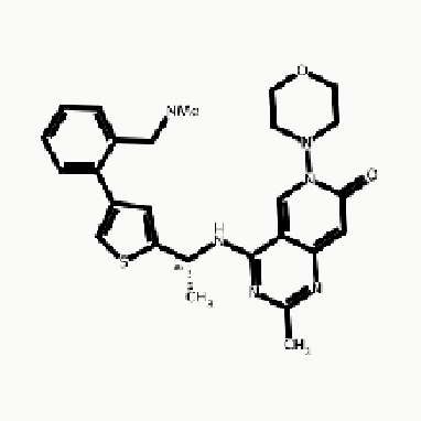 CNCc1ccccc1-c1csc([C@@H](C)Nc2nc(C)nc3cc(=O)n(N4CCOCC4)cc23)c1